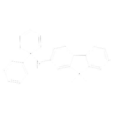 CC1(C)c2ccccc2-c2ccc(NC3(c4ccccc4)C=CC=CC3)cc21